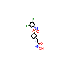 O=C(/C=C/c1cccc(S(=O)(=O)Nc2cc(F)cc(F)c2)c1)NO